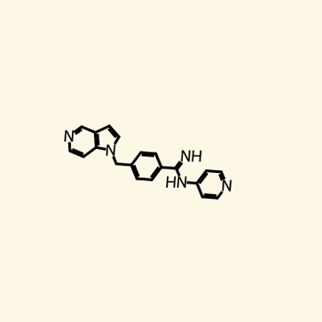 N=C(Nc1ccncc1)c1ccc(Cn2ccc3cnccc32)cc1